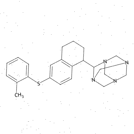 Cc1ccccc1Sc1ccc2c(c1)CCCC2C1N2CN3CN(C2)CN1C3